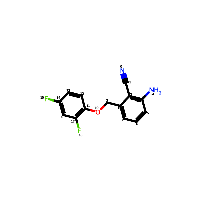 N#Cc1c(N)cccc1COc1ccc(F)cc1F